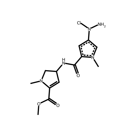 COC(=O)C1=CC(NC(=O)c2cc(N(N)Cl)cn2C)CN1C